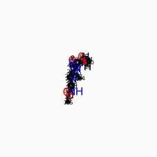 COc1cc(C(=O)N2C[C@H]3CC[C@@H]2[C@@H]3N)cc2nc(-c3cc4ccc(-c5ccc(NC(=O)OCC6CC6)cc5)nc4n3CC3CC3)n(C)c12